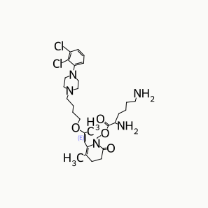 CC1=C(/C=C(\C)OCCCCN2CCN(c3cccc(Cl)c3Cl)CC2)N(COC(=O)C(N)CCCCN)C(=O)CC1